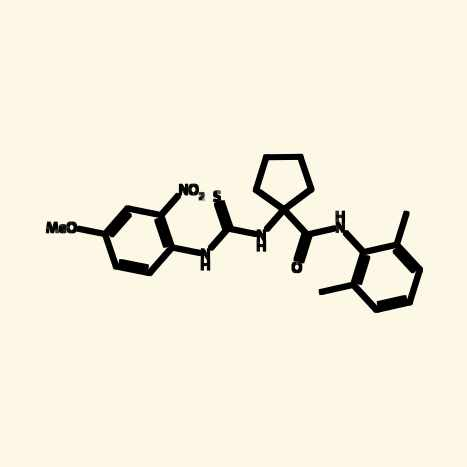 COc1ccc(NC(=S)NC2(C(=O)Nc3c(C)cccc3C)CCCC2)c([N+](=O)[O-])c1